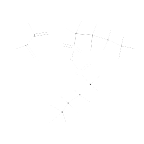 C=C(C)C(=O)O.O=S(=O)(NS(=O)(=O)C(F)(F)C(F)(F)C(F)(F)C(F)(F)F)C(F)(F)C(F)(F)C(F)(F)C(F)(F)F